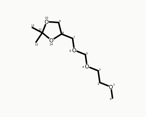 COCCOCOCC1COC(C)(C)O1